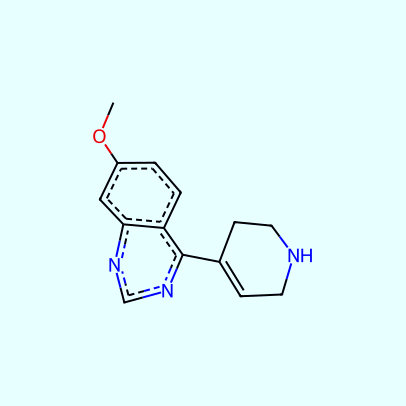 COc1ccc2c(C3=CCNCC3)ncnc2c1